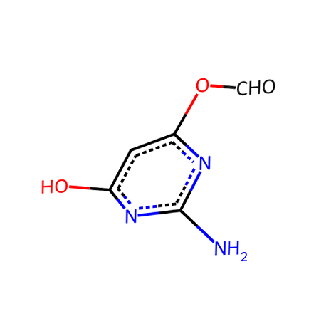 Nc1nc(O)cc(OC=O)n1